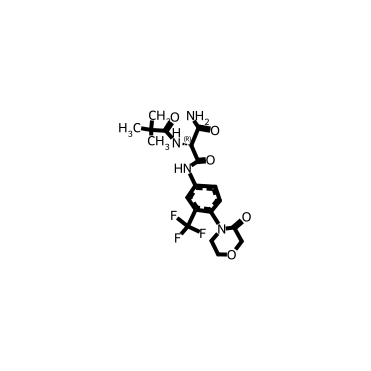 CC(C)(C)C(=O)N[C@H](C(N)=O)C(=O)Nc1ccc(N2CCOCC2=O)c(C(F)(F)F)c1